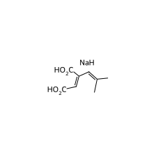 CC(C)=C/C(=C/C(=O)O)C(=O)O.[NaH]